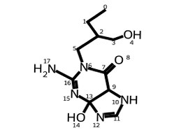 CCC(CO)CN1C(=O)C2NC=NC2(O)N=C1N